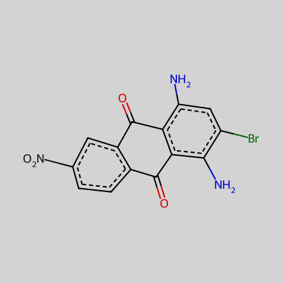 Nc1cc(Br)c(N)c2c1C(=O)c1cc([N+](=O)[O-])ccc1C2=O